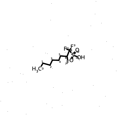 CCCCCCC(F)C(F)(F)S(=O)(=O)O